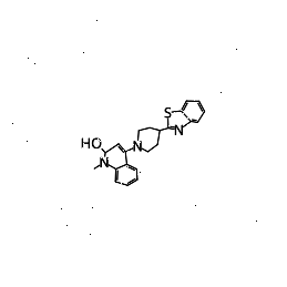 CN1c2ccccc2C(N2CCC(c3nc4ccccc4s3)CC2)=CC1O